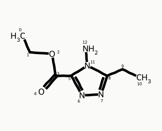 CCOC(=O)c1nnc(CC)n1N